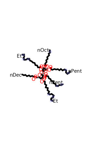 CC/C=C\C/C=C\C/C=C\CCCCCCCC(=O)O[C@H]1C[C@@H](COC(=O)CCCCCCCCCCCCCCCCC)O[C@H](O[C@]2(COC(=O)CCCCCCC/C=C\C/C=C\CCCCC)O[C@H](COC(=O)CCCCCCC/C=C\C/C=C\CCCCC)[C@@H](OC(=O)CCCCCCC/C=C\CCCCCCCC)[C@@H]2OC(=O)CCCCCCC/C=C\C/C=C\C/C=C\CC)C1